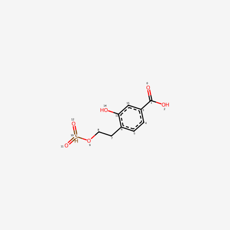 O=C(O)c1ccc(CCO[SH](=O)=O)c(O)c1